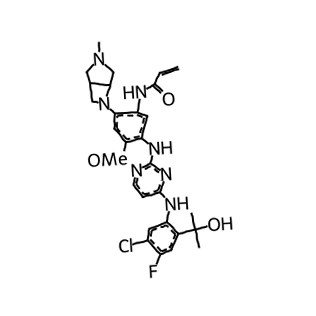 C=CC(=O)Nc1cc(Nc2nccc(Nc3cc(Cl)c(F)cc3C(C)(C)O)n2)c(OC)cc1N1CC2CN(C)CC21